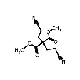 COC(=O)C(CCC#N)(CCC#N)C(=O)OC